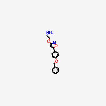 NCCOc1cc(-c2ccc(OCc3ccccc3)cc2)on1